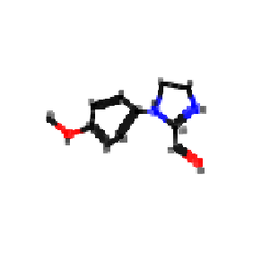 COc1ccc(N2CCN=C2C=O)cc1